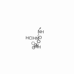 C#CCNCCCC(=O)Nc1cccc(-c2n[nH]c(=O)c3c2CCCC3)c1.Cl